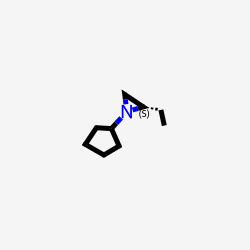 CC[C@H]1CN1C1CCCC1